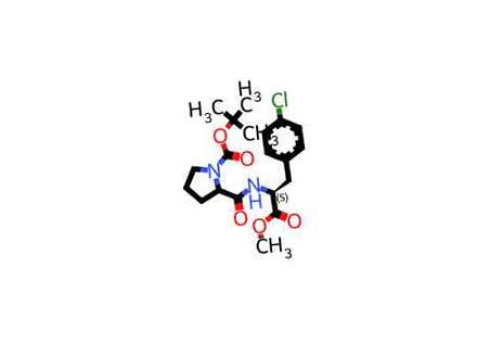 COC(=O)[C@H](Cc1ccc(Cl)cc1)NC(=O)C1CCCN1C(=O)OC(C)(C)C